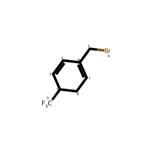 FC(F)(F)C1C=CC(CBr)=CC1